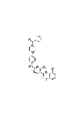 O=C(C1CCCC1)N1CCN(c2ccc(Nc3ncc4c(n3)OCN(c3c(Cl)cccc3Cl)C4=O)cc2)CC1